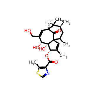 CC1=CC23C(=O)[C@@H](C=C(CO)[C@@H](O)[C@]2(O)[C@H]1OC(=O)c1ncsc1C)C(C)(C)[C@@H](C)CC3C